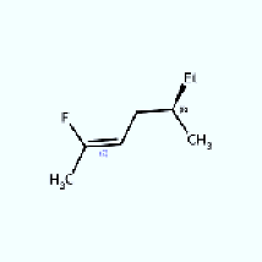 CC[C@@H](C)C/C=C(/C)F